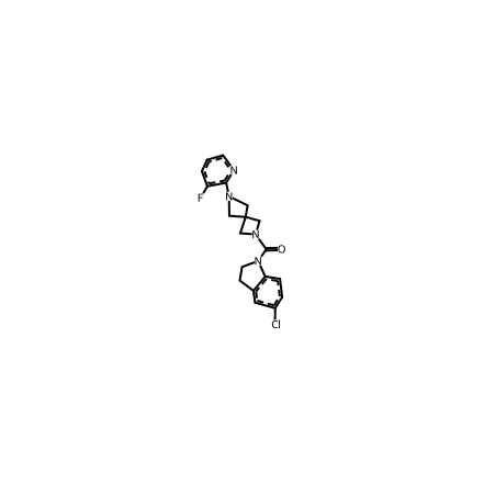 O=C(N1CC2(C1)CN(c1ncccc1F)C2)N1CCc2cc(Cl)ccc21